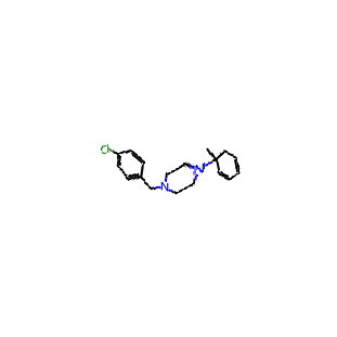 CC1(N2CCN(Cc3ccc(Cl)cc3)CC2)C=CC=CC1